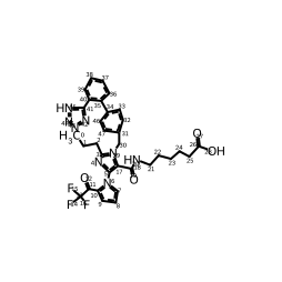 CCCc1nc(-n2cccc2C(=O)C(F)(F)F)c(C(=O)NCCCCCC(=O)O)n1Cc1ccc(-c2ccccc2-c2nnn[nH]2)cc1